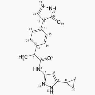 CC(C(=O)Nc1cc(C2CC2)[nH]n1)c1ccc(-n2cn[nH]c2=O)cc1